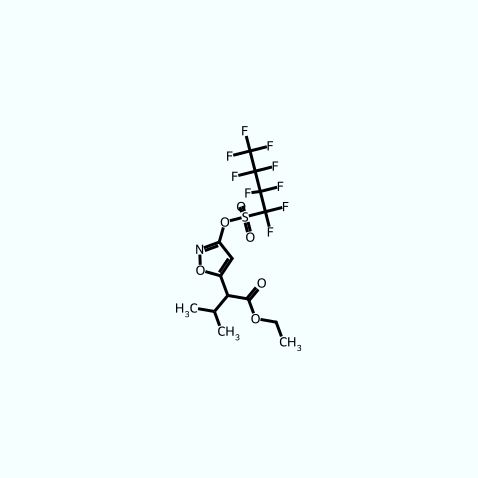 CCOC(=O)C(c1cc(OS(=O)(=O)C(F)(F)C(F)(F)C(F)(F)C(F)(F)F)no1)C(C)C